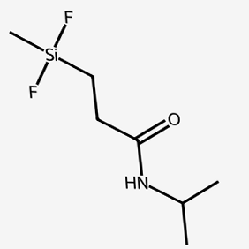 CC(C)NC(=O)CC[Si](C)(F)F